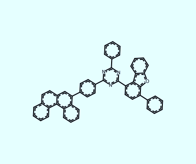 c1ccc(-c2nc(-c3ccc(-c4cc5ccc6ccccc6c5c5ccccc45)cc3)nc(-c3ccc(-c4ccccc4)c4oc5ccccc5c34)n2)cc1